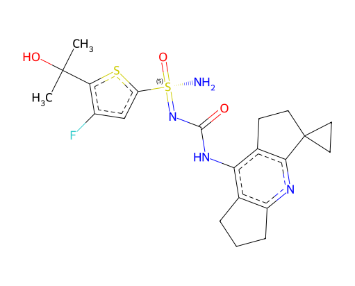 CC(C)(O)c1sc([S@@](N)(=O)=NC(=O)Nc2c3c(nc4c2CCC42CC2)CCC3)cc1F